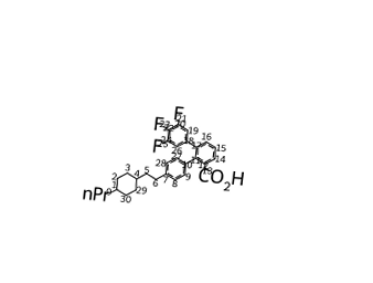 CCCC1CCC(CCc2ccc(-c3c(C(=O)O)cccc3-c3cc(F)c(F)c(F)c3)cc2)CC1